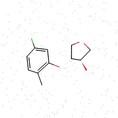 Cc1ccc(Cl)cc1O[C@@H]1COC[C@H]1O